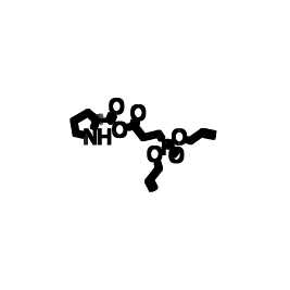 C=CCOP(=O)(CCC(=O)OC(=O)[C@@H]1CCCN1)OCC=C